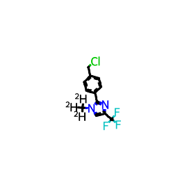 [2H]C([2H])([2H])n1cc(C(F)(F)F)nc1-c1ccc(CCl)cc1